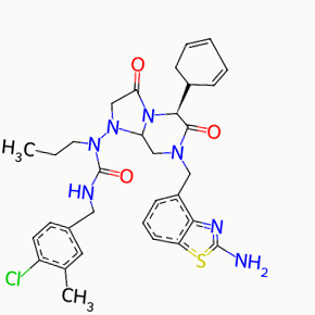 CCCN(C(=O)NCc1ccc(Cl)c(C)c1)N1CC(=O)N2C1CN(Cc1cccc3sc(N)nc13)C(=O)[C@@H]2C1C=CC=CC1